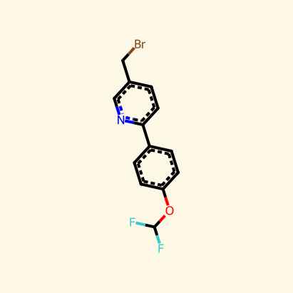 FC(F)Oc1ccc(-c2ccc(CBr)cn2)cc1